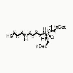 CCCCCCCCCCCNP(=O)(NCCCCCCCCCCC)NCCCCNCCCO